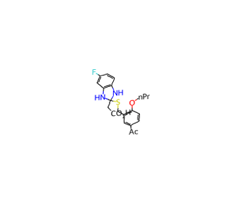 CCCOc1ccc(C(C)=O)cc1CSC1(CC(=O)O)Nc2ccc(F)cc2N1